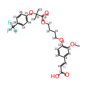 COc1cc(/C=C/C(=O)O)ccc1OCCCCOC(=O)C(C)(C)Oc1ccc(C(F)(F)F)cc1